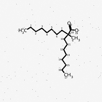 CCCCCCCCC(C)(CCCCCCCC)C([O])=O